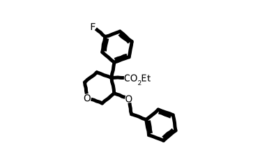 CCOC(=O)C1(c2cccc(F)c2)CCOCC1OCc1ccccc1